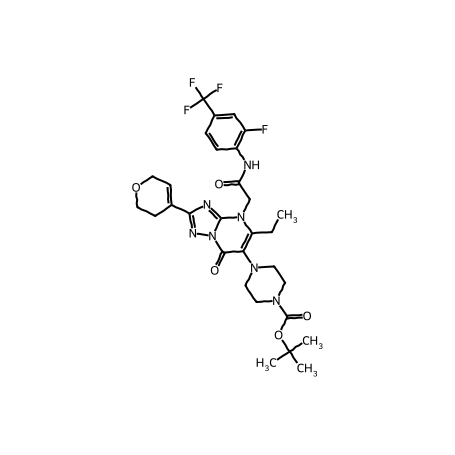 CCc1c(N2CCN(C(=O)OC(C)(C)C)CC2)c(=O)n2nc(C3=CCOCC3)nc2n1CC(=O)Nc1ccc(C(F)(F)F)cc1F